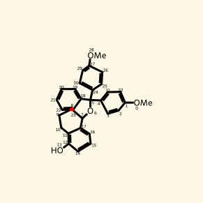 COc1ccc(C(OC2CCCc3c(O)cccc32)(c2ccccc2)c2ccc(OC)cc2)cc1